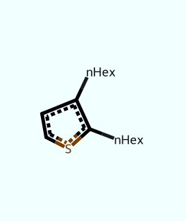 CCCCCCc1ccsc1CCCCCC